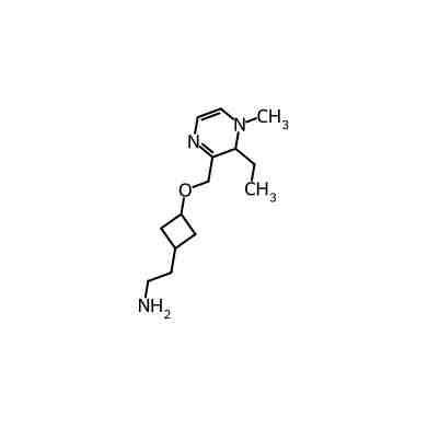 CCC1C(COC2CC(CCN)C2)=NC=CN1C